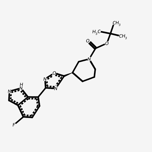 CC(C)(C)OC(=O)N1CCC[C@@H](c2nc(-c3ccc(F)c4cn[nH]c34)no2)C1